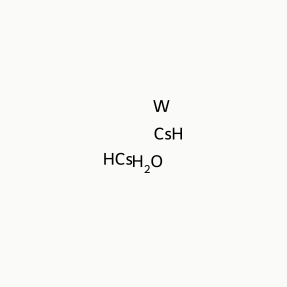 O.[CsH].[CsH].[W]